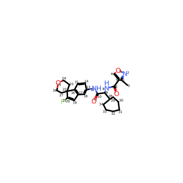 Cc1nocc1C(=O)NC(C(=O)Nc1ccc2c(c1)C=C(F)C21CCOCC1)C1CCCCCC1